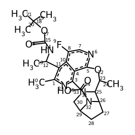 Cc1nc2c3c(ncc(F)c3c1C(C)NC(=O)OC(C)(C)C)OC(C)C1C3CCC(CN21)N3C(=O)O